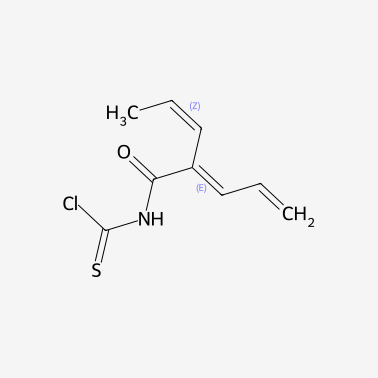 C=C/C=C(\C=C/C)C(=O)NC(=S)Cl